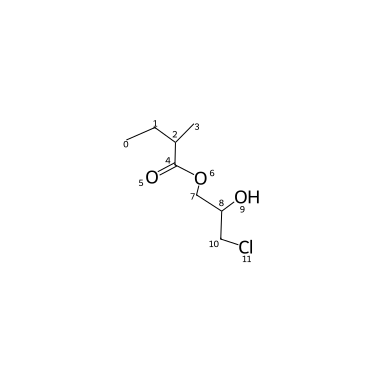 CCC(C)C(=O)OCC(O)CCl